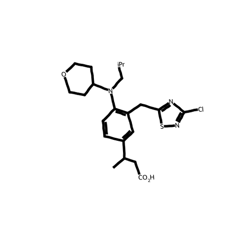 CC(C)CN(c1ccc(C(C)CC(=O)O)cc1Cc1nc(Cl)ns1)C1CCOCC1